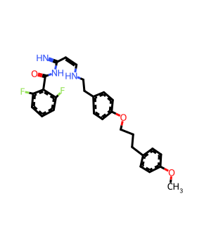 COc1ccc(CCCOc2ccc(CCN/C=C\C(=N)NC(=O)c3c(F)cccc3F)cc2)cc1